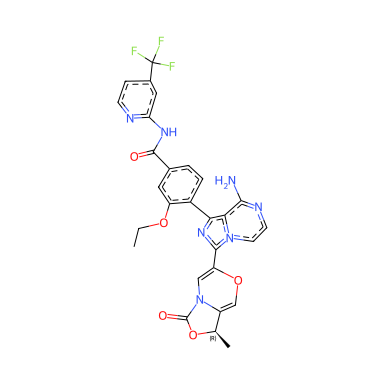 CCOc1cc(C(=O)Nc2cc(C(F)(F)F)ccn2)ccc1-c1nc(C2=CN3C(=O)O[C@H](C)C3=CO2)n2ccnc(N)c12